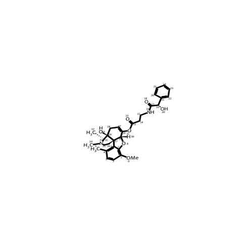 COc1ccc(C)c2c1O[C@H]1C(OC(=O)CCNC(=O)[C@@H](O)c3ccccc3)=CC[C@@]3(O)[C@@H](C)N(C)CC[C@]213